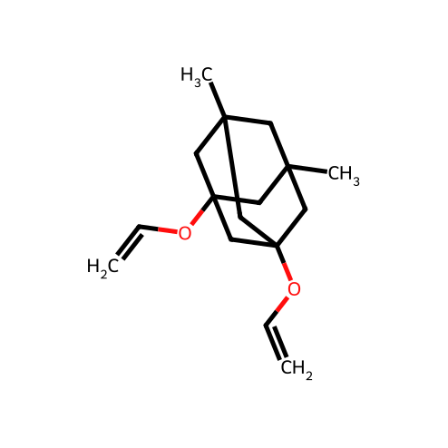 C=COC12CC3(C)CC(C)(C1)CC(OC=C)(C3)C2